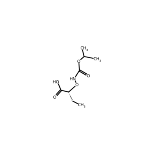 CC[C@@H](ONC(=O)OC(C)C)C(=O)O